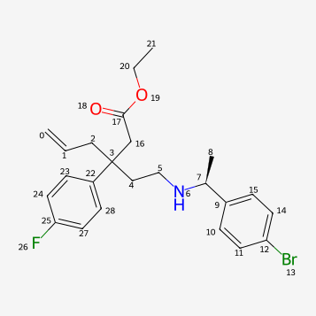 C=CCC(CCN[C@@H](C)c1ccc(Br)cc1)(CC(=O)OCC)c1ccc(F)cc1